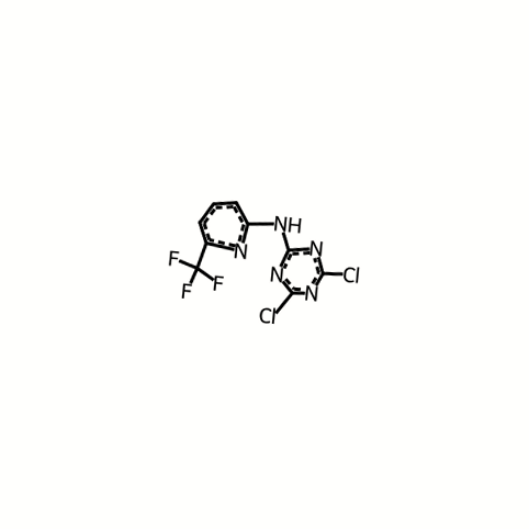 FC(F)(F)c1cccc(Nc2nc(Cl)nc(Cl)n2)n1